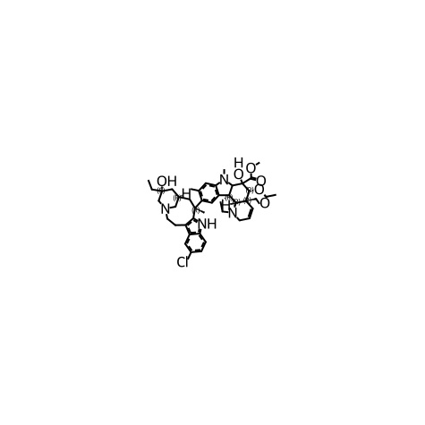 CC[C@]1(O)C[C@@H]2CN(CCc3c([nH]c4ccc(Cl)cc34)[C@@](C)(c3cc4c(cc3C)N(C)C3C(O)(C(=O)OC)[C@H](OC(C)=O)[C@]5(CC)C=CCN6CC[C@]43[C@@H]65)C2)C1